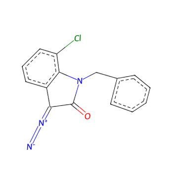 [N-]=[N+]=C1C(=O)N(Cc2ccccc2)c2c(Cl)cccc21